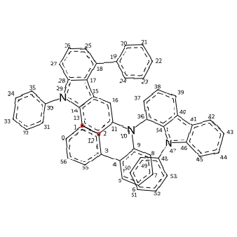 c1ccc(-c2ccccc2N(c2ccc3c(c2)c2c(-c4ccccc4)cccc2n3-c2ccccc2)c2cccc3c4ccccc4n(-c4ccccc4)c23)cc1